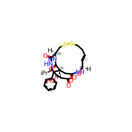 CC(C)[C@H]1NC(=O)[C@H]2CSSCC/C=C/[C@H](NC(=O)C[C@H](Cc3ccccc3)C(=O)N2)OOC(=O)C[C@@H]1O